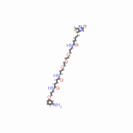 Nc1cccc(OCCCNC(=O)CCCC(=O)NCCCOCCOCCOCCCNC(=O)CCCC[C@@H]2SCC3=NC(=O)N=C32)c1